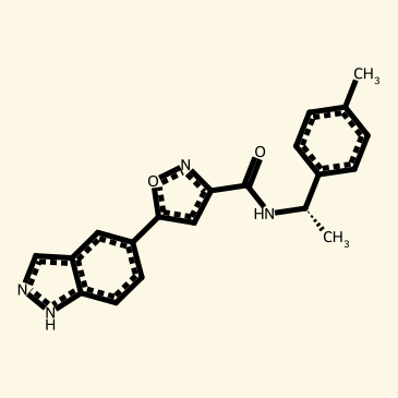 Cc1ccc([C@H](C)NC(=O)c2cc(-c3ccc4[nH]ncc4c3)on2)cc1